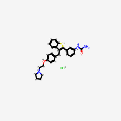 Cl.NC(=O)Nc1cccc(-c2sc3ccccc3c2Cc2ccc(OCCN3CCCC3)cc2)c1